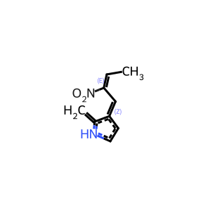 C=c1[nH]cc/c1=C/C(=C\C)[N+](=O)[O-]